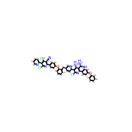 N#Cc1c(-c2ccc(Oc3ccccc3Cc3ccc(-c4c(Cl)nc(-c5ccc(Oc6ccccc6)cc5)c(C(=N)N)c4N)nc3)cc2)nc(Cl)c(-c2ccccn2)c1Cl